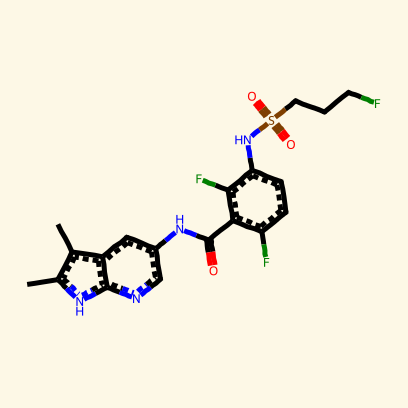 Cc1[nH]c2ncc(NC(=O)c3c(F)ccc(NS(=O)(=O)CCCF)c3F)cc2c1C